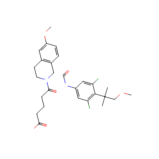 COCC(C)(C)c1c(F)cc(NC(=O)[C@H]2c3ccc(OC)cc3CCN2C(=O)CCCC(=O)O)cc1F